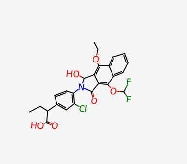 CCOc1c2c(c(OC(F)F)c3ccccc13)C(=O)N(c1ccc(C(CC)C(=O)O)cc1Cl)C2O